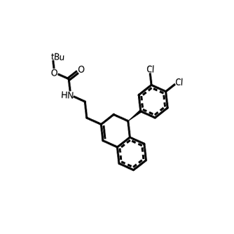 CC(C)(C)OC(=O)NCCC1=Cc2ccccc2[C@H](c2ccc(Cl)c(Cl)c2)C1